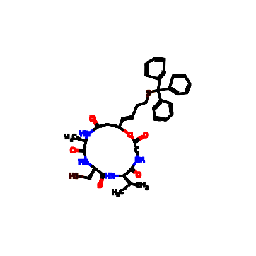 CC(C)[C@H]1NC(=O)[C@@H](CS)NC(=O)[C@@H](C)NC(=O)C[C@@H](/C=C/CCSC(c2ccccc2)(c2ccccc2)c2ccccc2)OC(=O)CNC1=O